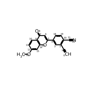 C#Cc1cc(-c2cc(=O)c3ccc(OC)cc3o2)ccc1C#N